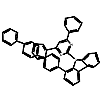 c1ccc(-c2ccc(-c3ccc(-c4cccc5c6ccccc6n(-c6nc(-c7ccccc7)cc(-c7ccccc7)n6)c45)cc3)cc2)cc1